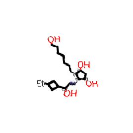 CCC1CC([C@H](O)/C=C/[C@@H]2[C@@H](CCCCCCCO)[C@H](O)C[C@H]2O)C1